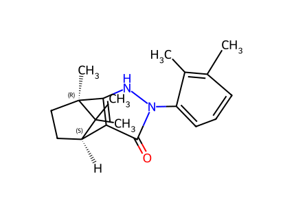 Cc1cccc(-n2[nH]c3c(c2=O)[C@H]2CC[C@]3(C)C2(C)C)c1C